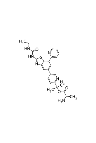 CCNC(=O)Nc1nc2cc(-c3cnc(C(C)(C)OC(=O)C(C)N)nc3)cc(-c3ccccn3)c2s1